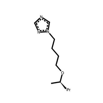 CC(C)[C@@H](C)OCCCCn1cncn1